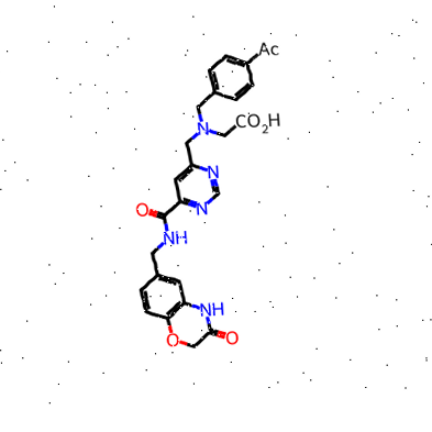 CC(=O)c1ccc(CN(CC(=O)O)Cc2cc(C(=O)NCc3ccc4c(c3)NC(=O)CO4)ncn2)cc1